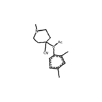 CC(=O)N(c1ccc(C)cc1C)C1(C#N)CCN(C)CC1